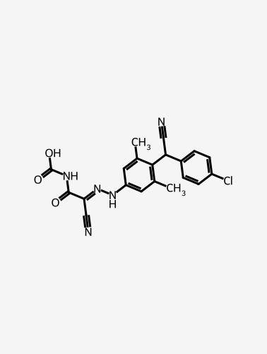 Cc1cc(N/N=C(\C#N)C(=O)NC(=O)O)cc(C)c1C(C#N)c1ccc(Cl)cc1